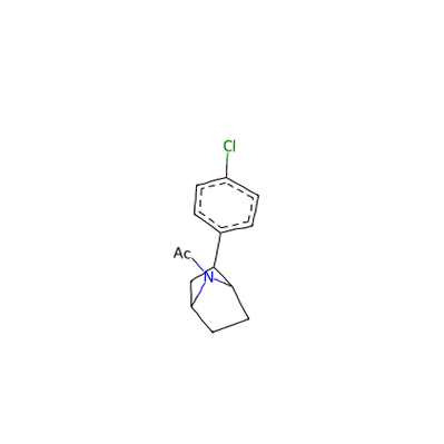 CC(=O)N1C2CCC1C(c1ccc(Cl)cc1)C2